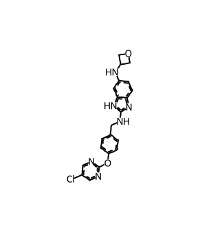 Clc1cnc(Oc2ccc(CNc3nc4ccc(NC5COC5)cc4[nH]3)cc2)nc1